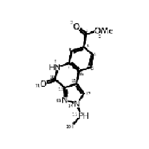 COC(=O)c1ccc2c(c1)[nH]c(=O)c1nn(PI)cc12